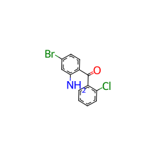 Nc1cc(Br)ccc1C(=O)c1ccccc1Cl